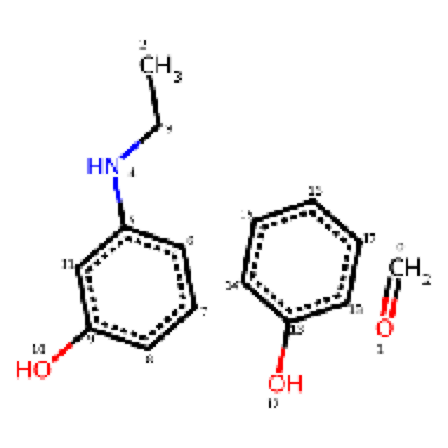 C=O.CCNc1cccc(O)c1.Oc1ccccc1